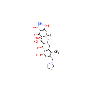 NC(=O)C1=C(O)C[C@@H]2CC3Cc4c(c(O)cc(CN5CCCC5)c4C(F)(F)F)C(=O)C3=C(O)[C@]2(O)C1=O